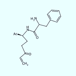 C=CC(=O)CC[C@H](NC(=O)C(N)Cc1ccccc1)C(C)=O